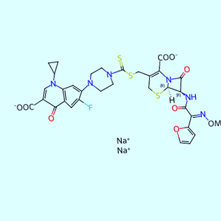 CON=C(C(=O)N[C@@H]1C(=O)N2C(C(=O)[O-])=C(CSC(=S)N3CCN(c4cc5c(cc4F)c(=O)c(C(=O)[O-])cn5C4CC4)CC3)CS[C@H]12)c1ccco1.[Na+].[Na+]